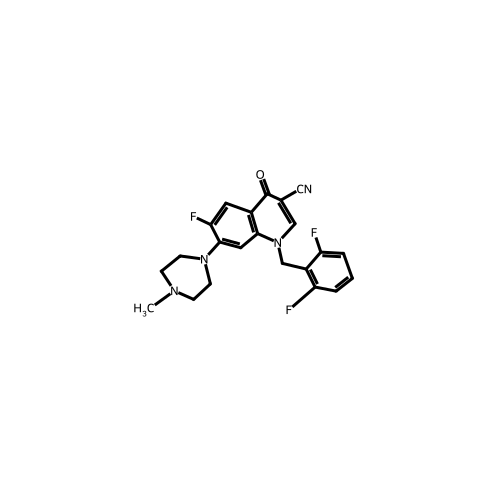 CN1CCN(c2cc3c(cc2F)c(=O)c(C#N)cn3Cc2c(F)cccc2F)CC1